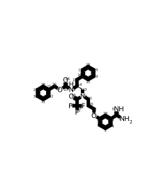 N=C(N)c1cccc(OCCCN(C[C@@H](Cc2ccccc2)NC(=O)OCc2ccccc2)C(=O)C(F)(F)F)c1